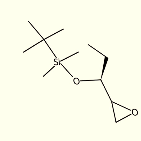 CC[C@H](O[Si](C)(C)C(C)(C)C)C1CO1